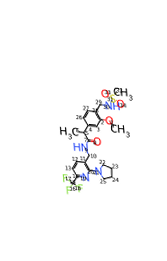 COc1cc(C(C)C(=O)NCc2ccc(C(F)(F)F)nc2N2CCCC2)ccc1CNS(C)(=O)=O